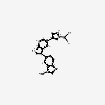 CC(C)(C)n1cnc2ccc(-c3c[nH]c4ncc(-c5cnn(C(F)F)c5)cc34)cc21